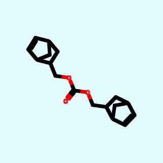 O=C(OCC1CC2C=CC1C2)OCC1CC2C=CC1C2